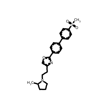 CC1CCCN1CCc1coc(-c2ccc(-c3ccc(S(C)(=O)=O)cc3)cc2)n1